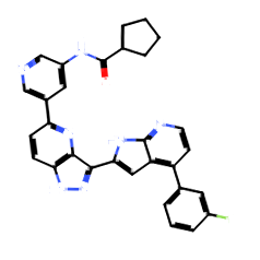 O=C(Nc1cncc(-c2ccc3[nH]nc(-c4cc5c(-c6cccc(F)c6)ccnc5[nH]4)c3n2)c1)C1CCCC1